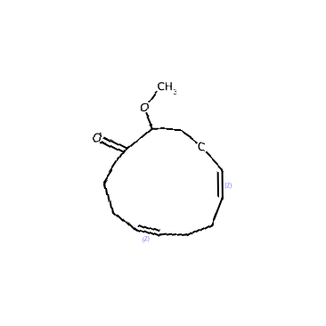 COC1CC/C=C\CC/C=C\CCC1=O